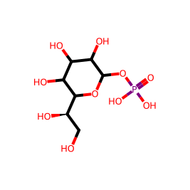 O=P(O)(O)OC1OC([C@H](O)CO)C(O)C(O)C1O